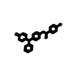 O=C1C=CC([C](c2ccccc2)c2ccc(CC(=O)c3ccc(Br)cc3)cc2)=CC1